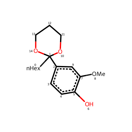 CCCCCCC1(c2ccc(O)c(OC)c2)OCCCO1